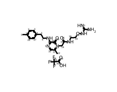 Cc1ccc(CCNc2ncc(C)n(CC(=O)NCCONC(=N)N)c2=O)cc1.O=C(O)C(F)(F)F